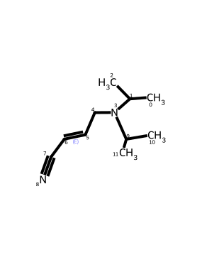 CC(C)N(C/C=C/C#N)C(C)C